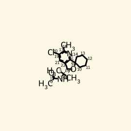 CC(=O)NC(C)(C)[C@H]1OC2(CCCCC2)c2nc(C)c(Cl)cc21